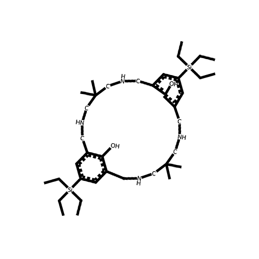 CC[Si](CC)(CC)c1cc2c(O)c(c1)CNCC(C)(C)CNCc1cc([Si](CC)(CC)CC)cc(c1O)CNCC(C)(C)CNC2